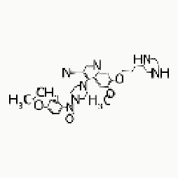 COc1cc2c(N3CCN(N(C=O)c4ccc(OC(C)C)cc4)CC3)c(C#N)cnc2cc1OCCCC1CNCCN1